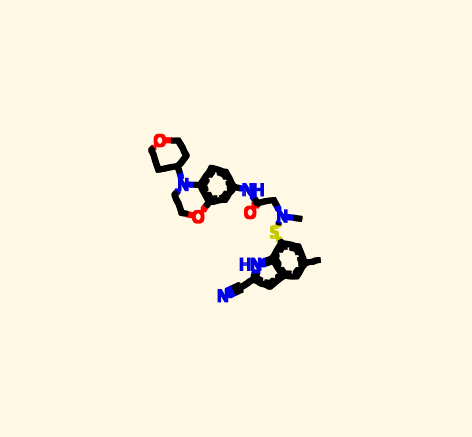 Cc1cc(SN(C)CC(=O)Nc2ccc3c(c2)OCCN3C2CCOCC2)c2[nH]c(C#N)cc2c1